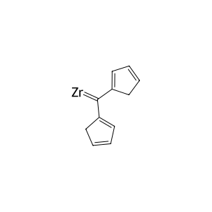 [Zr]=[C](C1=CC=CC1)C1=CC=CC1